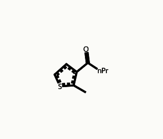 CCCC(=O)c1ccsc1C